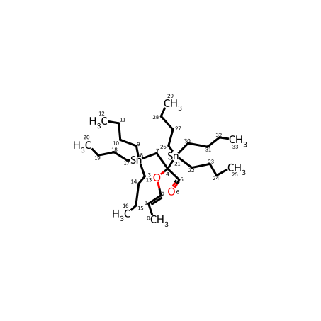 CC=CO[C]([C]=O)([CH2][Sn]([CH2]CCC)([CH2]CCC)[CH2]CCC)[Sn]([CH2]CCC)([CH2]CCC)[CH2]CCC